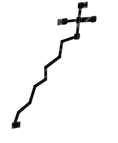 O=P(O)(O)OCCCCCCCS